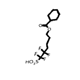 O=C(OCCCCC(F)(F)C(F)(F)S(=O)(=O)O)C1CCCCC1